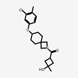 Cc1ccc(OC2CCC3(CC2)CN(C(=O)C2CC(C)(O)C2)C3)cc1Cl